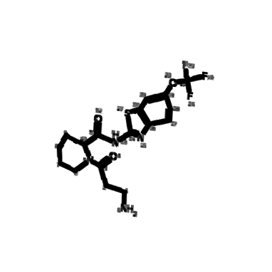 NCCC(=O)N1CCCCC1C(=O)Nc1nc2ccc(OC(F)(F)F)cc2s1